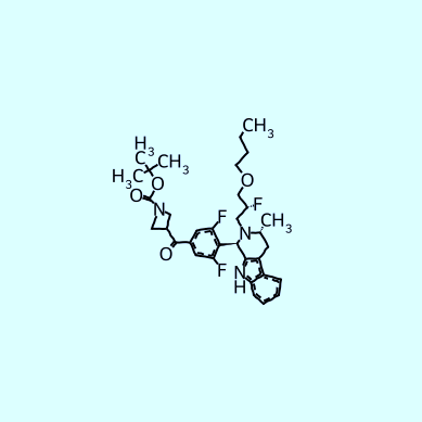 CCCCOC[C@H](F)CN1[C@H](c2c(F)cc(C(=O)C3CN(C(=O)OC(C)(C)C)C3)cc2F)c2[nH]c3ccccc3c2C[C@H]1C